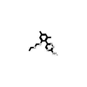 CCOCOc1cc(C)cc(C)c1-c1cnc(N)nn1